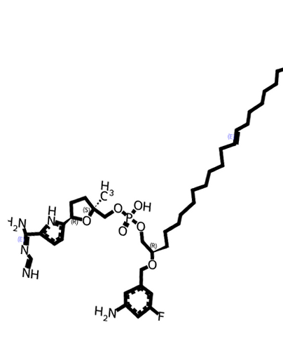 CCCCCCCC/C=C/CCCCCCCCCC[C@H](COP(=O)(O)OC[C@]1(C)CC[C@H](c2ccc(/C(N)=N\C=N)[nH]2)O1)OCc1cc(N)cc(F)c1